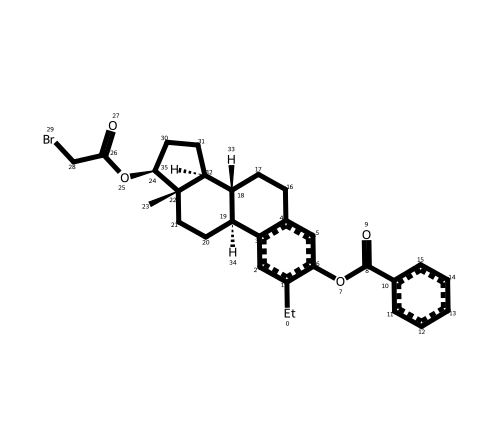 CCc1cc2c(cc1OC(=O)c1ccccc1)CC[C@@H]1[C@@H]2CC[C@]2(C)[C@@H](OC(=O)CBr)CC[C@@H]12